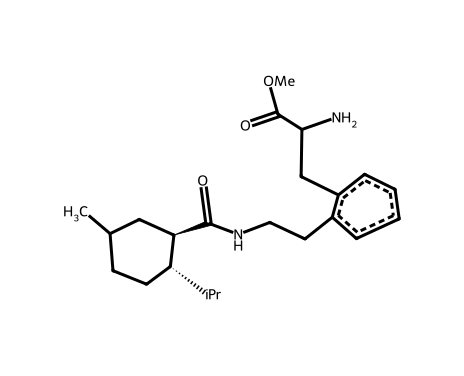 COC(=O)C(N)Cc1ccccc1CCNC(=O)[C@@H]1CC(C)CC[C@H]1C(C)C